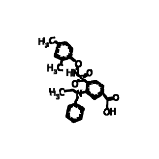 CCN(c1ccccc1)c1cc(C(=O)O)ccc1S(=O)(=O)NOc1ccc(C)cc1C